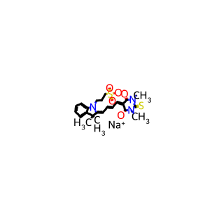 CN1C(=O)C(=CC=CC=C2N(CCCS(=O)(=O)[O-])c3ccccc3C2(C)C)C(=O)N(C)C1=S.[Na+]